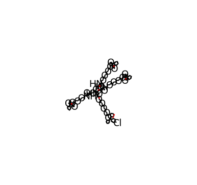 O=C(CCOCC(COCCC(=O)NCCOCCOCCON1C(=O)c2ccccc2C1=O)(NC(=O)CCOCCOCCOCCOCCOC(c1ccccc1)(c1ccccc1)c1ccc(Cl)cc1)OCCC(=O)NCCOCCOCCOCCON1C(=O)c2ccccc2C1=O)NCCOCCOCCOCCON1C(=O)c2ccccc2C1=O